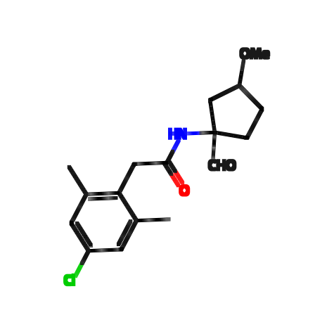 COC1CCC(C=O)(NC(=O)Cc2c(C)cc(Cl)cc2C)C1